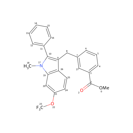 COC(=O)c1cccc(Cc2c(-c3ccccc3)n(C)c3cc(OC(F)(F)F)ccc23)c1